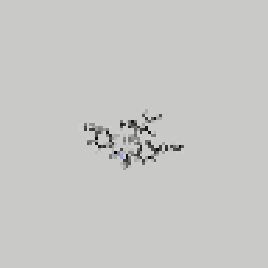 C=C(C)C(Cc1c(OC)ccc(C(=O)/C=C/c2ccc(O)cc2)c1O)OO